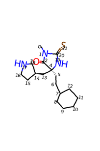 CN1C(=O)[C@](CCC2CCCCC2)(C[C@H]2CCNC2)NC1=S